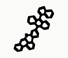 c1ccc2c(-c3c4ccccc4c(-c4ccc5c(c4)Sc4cc6ccccc6c6cccc-5c46)c4ccccc34)cccc2c1